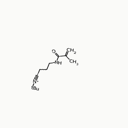 C=C(C)C(=O)NCCCC#[N+]C(C)(C)C